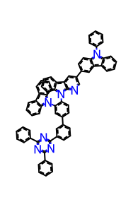 c1ccc(-c2nc(-c3ccccc3)nc(-c3cccc(-c4ccc(-n5c6ccccc6c6cc(-c7ccc8c(c7)c7ccccc7n8-c7ccccc7)cnc65)c(-n5c6ccccc6c6ccccc65)c4)c3)n2)cc1